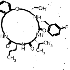 CCC[C@@H]1NC(=O)[C@@H](C(C)C)NC(=O)[C@@H](Cc2cccc(F)c2)N[C@@H](CO)COc2ccccc2CCCNC1=O